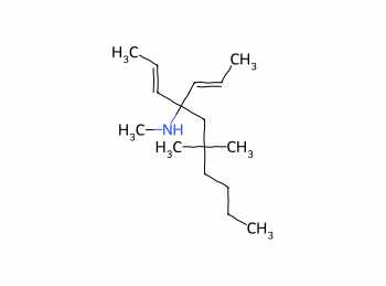 CC=CC(C=CC)(CC(C)(C)CCCC)NC